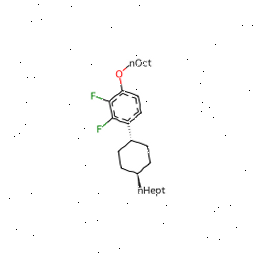 CCCCCCCCOc1ccc([C@H]2CC[C@H](CCCCCCC)CC2)c(F)c1F